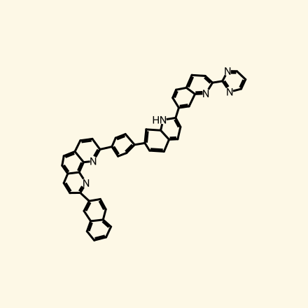 C1=CC2=CC=C(c3ccc4ccc(-c5ncccn5)nc4c3)NC2C=C1c1ccc(-c2ccc3ccc4ccc(-c5ccc6ccccc6c5)nc4c3n2)cc1